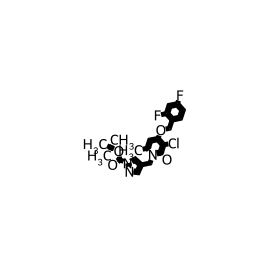 Cc1cc(OCc2ccc(F)cc2F)c(Cl)c(=O)n1Cc1cnn(C(=O)OC(C)(C)C)c1